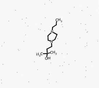 CCCN1CCN(CCC(C)(C)O)CC1